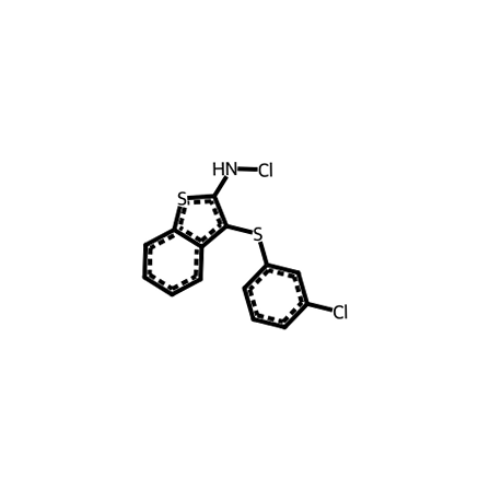 ClNc1sc2ccccc2c1Sc1cccc(Cl)c1